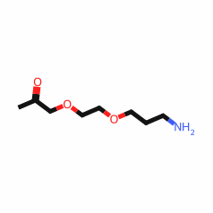 CC(=O)COCCOCCCN